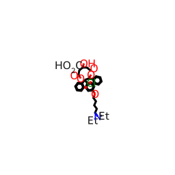 CCN(CC)CCCCCOc1ccc(C2(c3ccccc3)OC(=O)CC(O)(C(=O)O)CC(=O)OC2(Cl)c2ccccc2)cc1